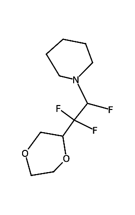 FC(N1CCCCC1)C(F)(F)C1COCCO1